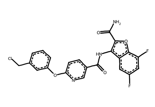 NC(=O)c1oc2c(F)cc(F)cc2c1NC(=O)c1ccc(Oc2cccc(CCl)c2)nc1